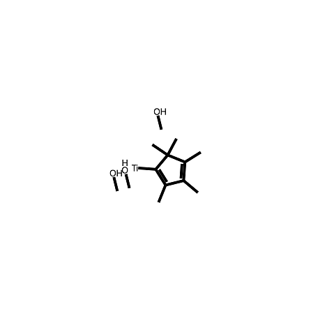 CC1=C(C)C(C)(C)[C]([Ti])=C1C.CO.CO.CO